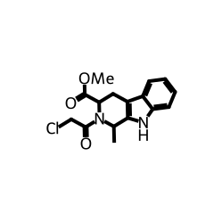 COC(=O)C1Cc2c([nH]c3ccccc23)C(C)N1C(=O)CCl